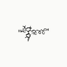 Cc1cc(C2=C(C=CC(O)CC(=O)CC(=O)O)C(C)(C)CC(C(C)(C)C)C2O[SiH](C)C)ccc1F